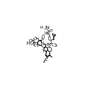 CC[C@@]1(O)C(=O)OCc2c1cc1n(c2=O)Cc2c-1nc1cc(F)c(C)c3c1c2[C@@H](NC(=O)C(CC1CC1)OCNC(=O)CN)CC3